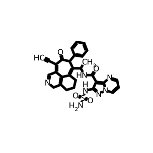 C#CC1=C2C=NCC3=C2C(=C(C(C)NC(=O)c2c(NS(N)(=O)=O)nn4cccnc24)C(c2ccccc2)C1=O)CCC3